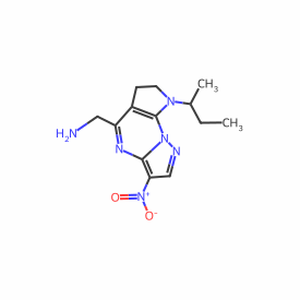 CCC(C)N1CCc2c(CN)nc3c([N+](=O)[O-])cnn3c21